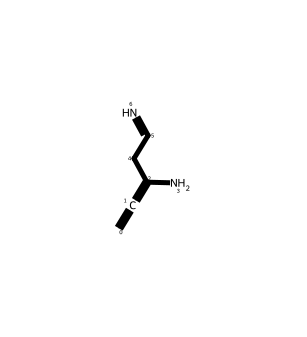 C=C=C(N)CC=N